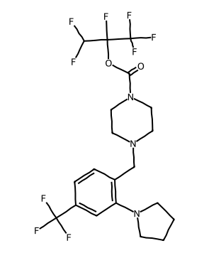 O=C(OC(F)(C(F)F)C(F)(F)F)N1CCN(Cc2ccc(C(F)(F)F)cc2N2CCCC2)CC1